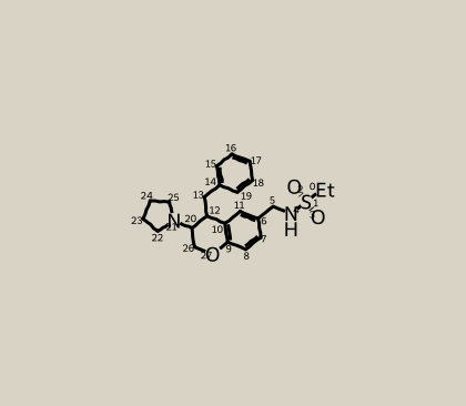 CCS(=O)(=O)NCc1ccc2c(c1)C(Cc1ccccc1)C(N1CCCC1)CO2